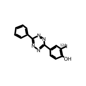 Oc1ccc(-c2nnc(-c3ccccc3)nn2)cc1[124I]